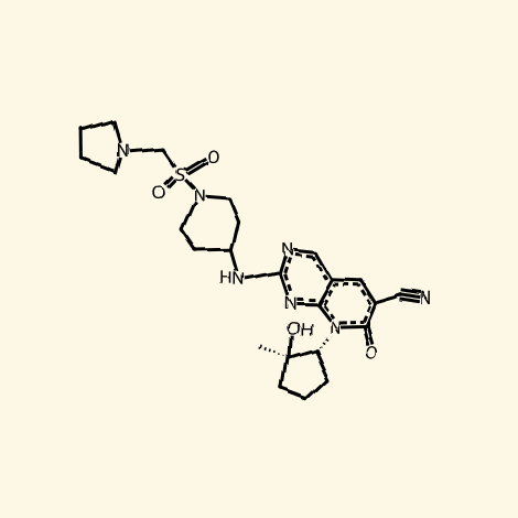 C[C@@]1(O)CCC[C@H]1n1c(=O)c(C#N)cc2cnc(NC3CCN(S(=O)(=O)CN4CCCC4)CC3)nc21